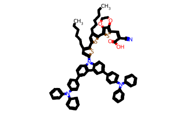 CCCCCCc1cc(-n2c3ccc(-c4ccc(N(c5ccccc5)c5ccccc5)cc4)cc3c3cc(-c4ccc(N(c5ccccc5)c5ccccc5)cc4)ccc32)sc1-c1cc(CCCCCC)c(-c2sc(/C=C(/C#N)C(=O)O)c3c2OCCO3)s1